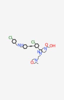 C[C@H]1COCCN1CCCn1nc(-c2ccc(Cl)c(C#Cc3ccc(CNCc4ccc(Cl)cc4)cc3)c2)c2c1CCN(C(=O)CO)C2